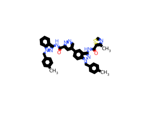 Cc1ccc(Cn2nc(NC(=O)c3cc(-c4ccc5c(c4)c(NC(=O)c4scnc4C)nn5Cc4ccc(C)cc4)cnn3)c3ccccc32)cc1